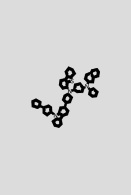 c1ccc(-c2ccc(-n3c4ccccc4c4ccc(-c5ccc(N(c6ccc(N(c7ccccc7)c7ccc8ccccc8c7)cc6)c6cccc7c6sc6ccccc67)cc5)cc43)cc2)cc1